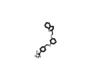 c1cc(SCc2ccc(-c3nnn[nH]3)cc2)cc(SCc2ccc3ccccc3n2)c1